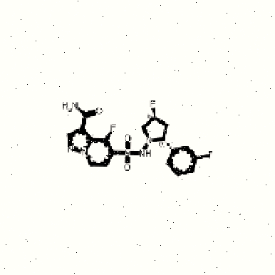 NC(=O)c1cnn2ccc(S(=O)(=O)NN3C[C@@H](F)C[C@@H]3c3cccc(F)c3)c(F)c12